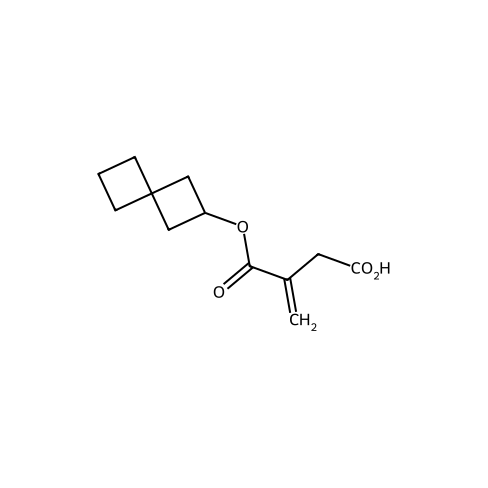 C=C(CC(=O)O)C(=O)OC1CC2(CCC2)C1